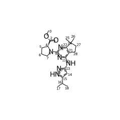 COC(=O)[C@@H]1CCCN1c1nc(Nc2cc(C(C)C)[nH]n2)c2c(n1)C(C)(C)CC2